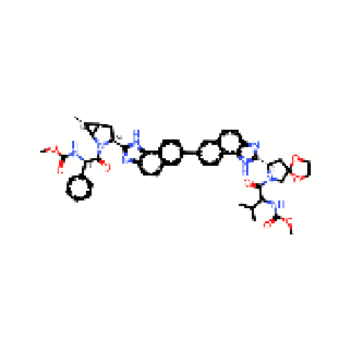 COC(=O)NC(C(=O)N1CC2(C[C@H]1c1nc3ccc4cc(-c5ccc6c(ccc7nc([C@@H]8CC9C([C@@H]9C)N8C(=O)[C@H](NC(=O)OC)c8ccccc8)[nH]c76)c5)ccc4c3[nH]1)OCCO2)C(C)C